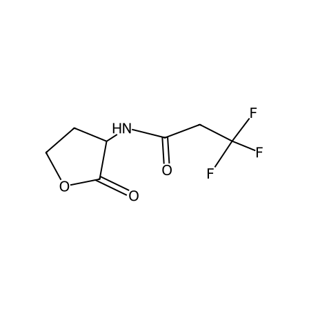 O=C(CC(F)(F)F)NC1CCOC1=O